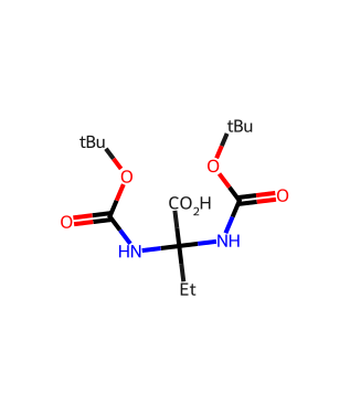 CCC(NC(=O)OC(C)(C)C)(NC(=O)OC(C)(C)C)C(=O)O